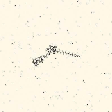 CCCCCCCCCCCCCCCCCCCCOC(=O)n1c(=O)ccc2ccc(OCCCCN3CCN(c4cccc5sccc45)CC3)cc21